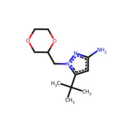 CC(C)(C)c1cc(N)nn1CC1COCCO1